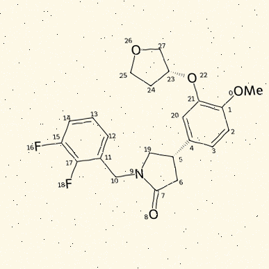 COc1ccc([C@@H]2CC(=O)N(Cc3cccc(F)c3F)C2)cc1O[C@@H]1CCOC1